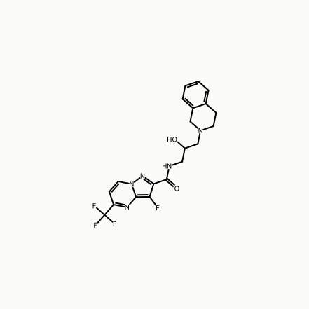 O=C(NCC(O)CN1CCc2ccccc2C1)c1nn2ccc(C(F)(F)F)nc2c1F